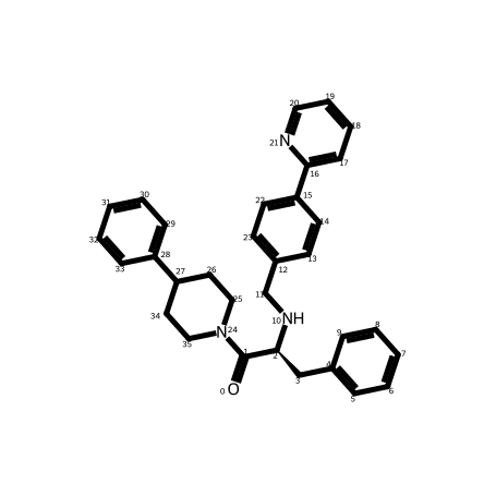 O=C([C@H](Cc1ccccc1)NCc1ccc(-c2ccccn2)cc1)N1CCC(c2ccccc2)CC1